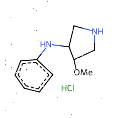 COC1CNCC1Nc1ccccc1.Cl